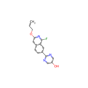 C=CCOc1cc2ccc(-c3ncc(O)cn3)cc2c(F)n1